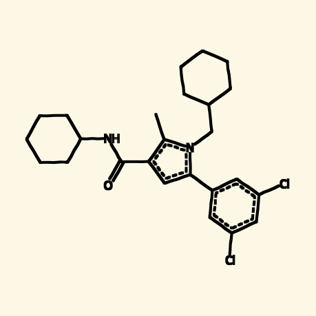 Cc1c(C(=O)NC2CCCCC2)cc(-c2cc(Cl)cc(Cl)c2)n1CC1CCCCC1